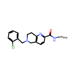 CCCCCNC(=O)c1ccc2c(n1)CCN(Cc1ccccc1Cl)C2